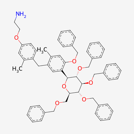 Cc1cc(OCCN)ccc1Cc1cc([C@@H]2O[C@H](COCc3ccccc3)[C@@H](OCc3ccccc3)[C@H](OCc3ccccc3)[C@H]2OCc2ccccc2)c(OCc2ccccc2)cc1C